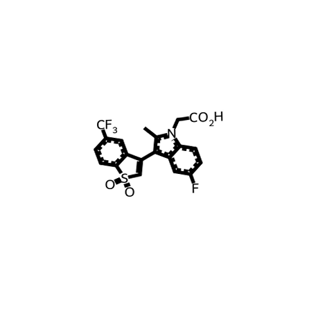 Cc1c(C2=CS(=O)(=O)c3ccc(C(F)(F)F)cc32)c2cc(F)ccc2n1CC(=O)O